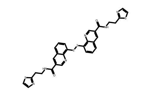 O=C(NCCc1nccs1)c1cnc2c(SSc3cccc4cc(C(=O)NCCc5nccs5)cnc34)cccc2c1